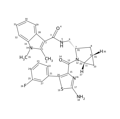 Cc1c(C(=O)NC[C@@H]2C[C@@H]3C[C@@H]3N2C(=O)c2nc(N)sc2-c2cccc(F)c2)c2ccccc2n1C